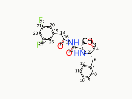 C[C@H](N[C@H](C=O)Cc1ccccc1)C(=O)NC(=O)Cc1cc(F)cc(F)c1